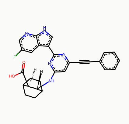 O=C(O)[C@@H]1C2CCC(CC2)[C@H]1Nc1cc(C#Cc2ccccc2)nc(-c2c[nH]c3ncc(F)cc23)n1